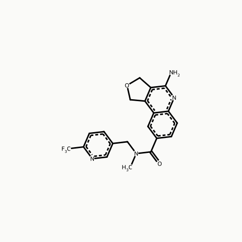 CN(Cc1ccc(C(F)(F)F)nc1)C(=O)c1ccc2nc(N)c3c(c2c1)COC3